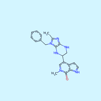 Cc1nc2c(n1Cc1ccccc1)NC(c1cn(C)c(=O)c3[nH]ccc13)CN2